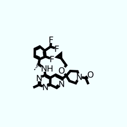 CC(=O)N1CCC(OCC2CC2)(c2cc3c(N[C@H](C)c4cccc(C(F)F)c4F)nc(C)nc3cn2)CC1